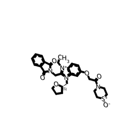 CC[n+]1c(CN2C(=O)c3ccccc3C2=O)n(C[C@@H]2CCCO2)c2cc(OCC(=O)N3CC[S+]([O-])CC3)ccc21